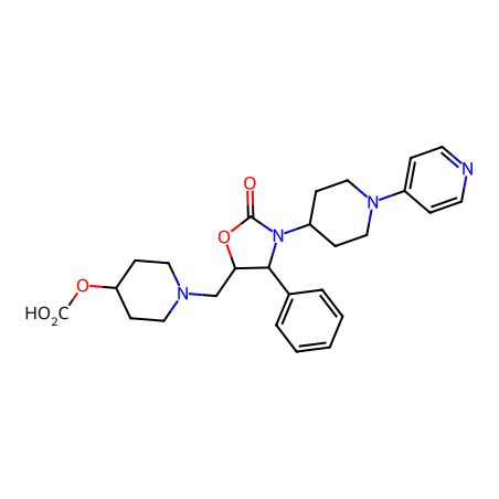 O=C(O)OC1CCN(CC2OC(=O)N(C3CCN(c4ccncc4)CC3)C2c2ccccc2)CC1